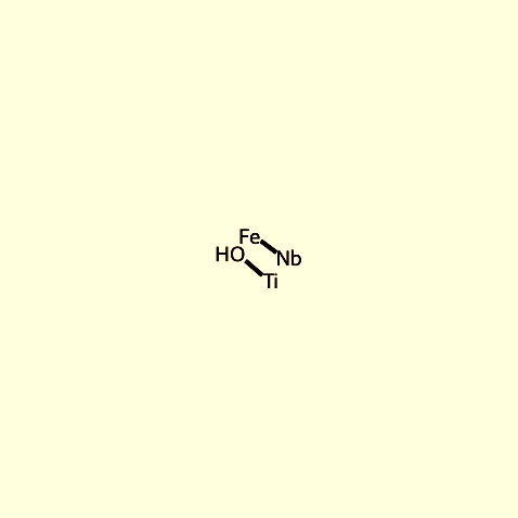 [Fe][Nb].[OH][Ti]